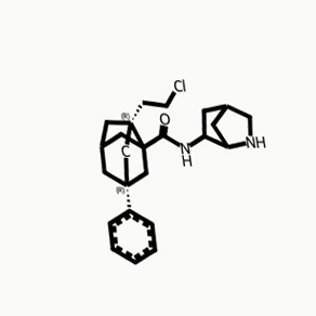 O=C(NC1CC2CNC1C2)C12CC3C[C@](c4ccccc4)(C1)C[C@@]2(CCCl)C3